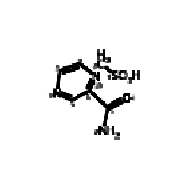 CS(=O)(=O)O.NC(=O)c1cnccn1